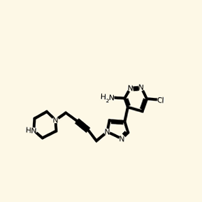 Nc1nnc(Cl)cc1-c1cnn(CC#CCN2CCNCC2)c1